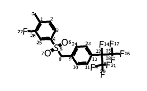 Cc1ccc(S(=O)(=O)Cc2ccc(C(F)(C(F)(F)F)C(F)(F)F)cc2)cc1F